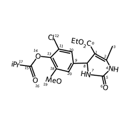 CCOC(=O)C1=C(C)NC(=O)NC1c1cc(Cl)c(OC(=O)C(C)C)c(OC)c1